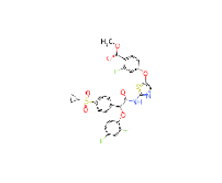 COC(=O)c1ccc(Oc2cnc(NC(=O)C(Oc3ccc(F)cc3F)c3ccc(S(=O)(=O)C4CC4)cc3)s2)cc1F